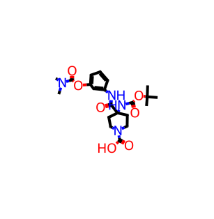 CN(C)C(=O)Oc1cccc(NC(=O)C2(NC(=O)OC(C)(C)C)CCN(C(=O)O)CC2)c1